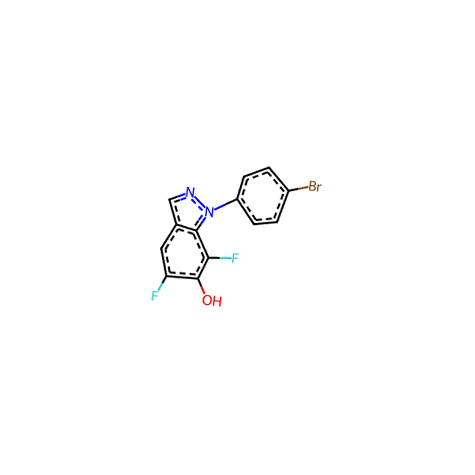 Oc1c(F)cc2cnn(-c3ccc(Br)cc3)c2c1F